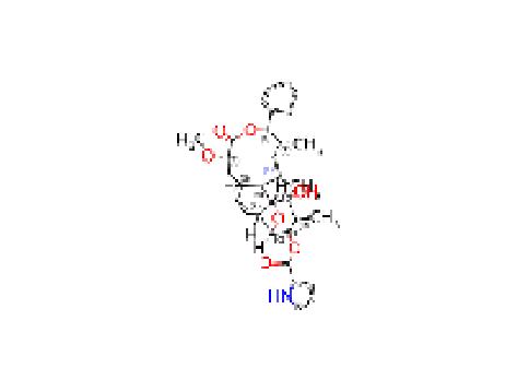 CO[C@H]1C[C@H]2C=C[C@H]3[C@H]4O[C@]2(/C(C)=C/[C@@H](C)[C@H](c2ccccc2)OC1=O)[C@@H]3[C@H](O)[C@@H](C)[C@H]4OC(=O)c1ccc[nH]1